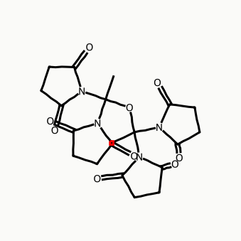 CC(OC(C)(N1C(=O)CCC1=O)N1C(=O)CCC1=O)(N1C(=O)CCC1=O)N1C(=O)CCC1=O